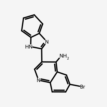 Nc1c(-c2nc3ccccc3[nH]2)cnc2ccc(Br)cc12